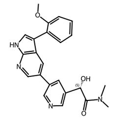 COc1ccccc1-c1c[nH]c2ncc(-c3cncc([C@H](O)C(=O)N(C)C)c3)cc12